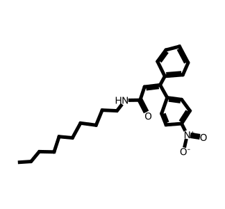 CCCCCCCCCCNC(=O)/C=C(/c1ccccc1)c1ccc([N+](=O)[O-])cc1